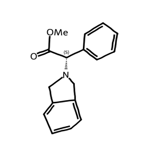 COC(=O)[C@H](c1ccccc1)N1Cc2ccccc2C1